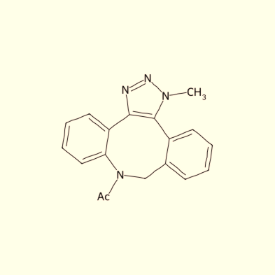 CC(=O)N1Cc2ccccc2-c2c(nnn2C)-c2ccccc21